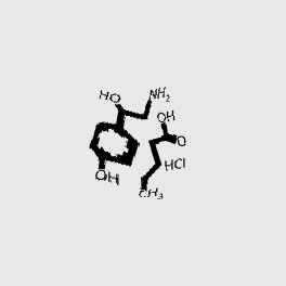 CCCCC(=O)O.Cl.NCC(O)c1ccc(O)cc1